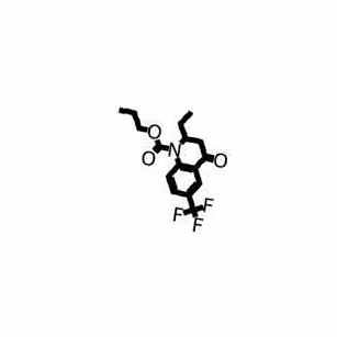 CCCOC(=O)N1c2ccc(C(F)(F)F)cc2C(=O)CC1CC